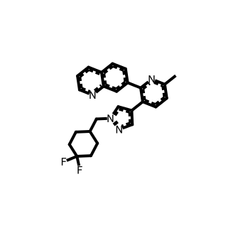 Cc1ccc(-c2cnn(CC3CCC(F)(F)CC3)c2)c(-c2ccc3cccnc3c2)n1